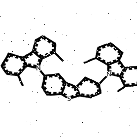 Cc1cccc2c3cccc(C)c3n(-c3ccc4sc5ccc(-n6c7c(C)cccc7c7cccc(C)c76)cc5c4c3)c12